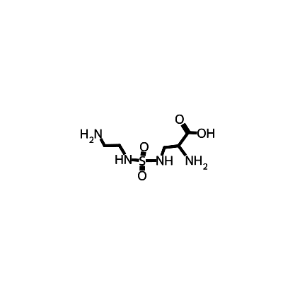 NCCNS(=O)(=O)NCC(N)C(=O)O